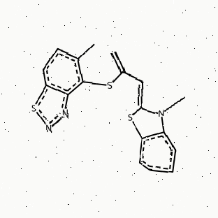 C=C(/C=C1\Sc2ccccc2N1C)Sc1c(C)ccc2snnc12